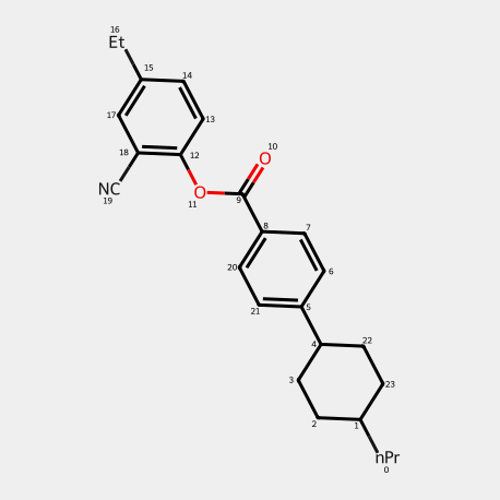 CCCC1CCC(c2ccc(C(=O)Oc3ccc(CC)cc3C#N)cc2)CC1